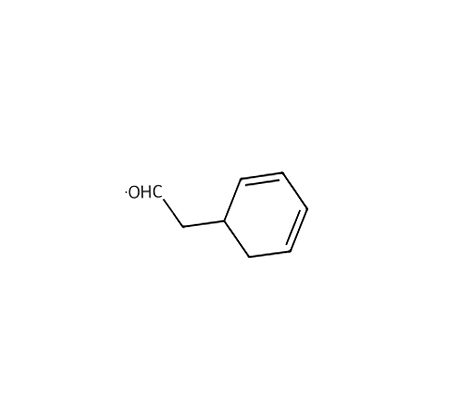 O=[C]CC1C=CC=CC1